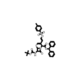 Cc1ccc(S(=O)(=O)OC=CC2=CSC3C(NC(=O)OC(C)(C)C)C(=O)N3C2C(=O)OC(c2ccccc2)c2ccccc2)cc1